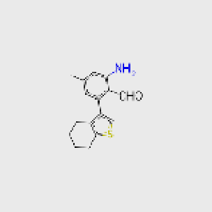 Cc1cc(N)c(C=O)c(-c2csc3c2CCCC3)c1